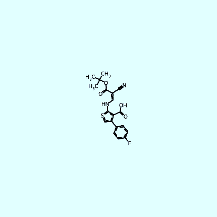 CC(C)(C)OC(=O)C(C#N)=CNc1scc(-c2ccc(F)cc2)c1C(=O)O